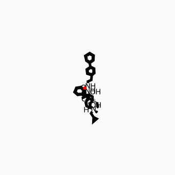 C[N+]1(CC2CC2)CC[C@]23Cc4[nH]c5ccccc5c4C[C@@]2(O)[C@H]1Cc1ccc(C(=O)NCCc2ccc(-c4ccccc4)cc2)c(O)c13